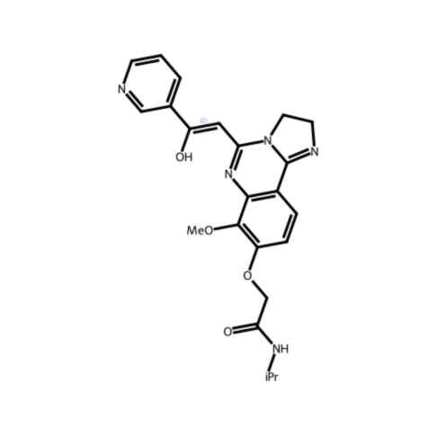 COc1c(OCC(=O)NC(C)C)ccc2c1N=C(/C=C(\O)c1cccnc1)N1CCN=C21